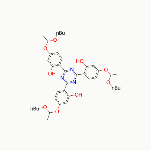 CCCCOC(C)Oc1ccc(-c2nc(-c3ccc(OC(C)OCCCC)cc3O)nc(-c3ccc(OC(C)OCCCC)cc3O)n2)c(O)c1